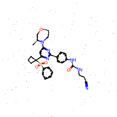 C[C@H]1COCCN1c1cc(C2(S(=O)(=O)c3ccccc3)CCC2)nc(-c2ccc(NC(=O)NCCC#N)cc2)n1